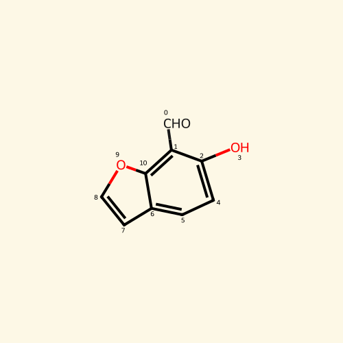 O=Cc1c(O)ccc2ccoc12